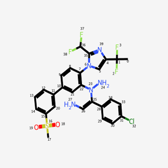 CC(F)(F)c1cn(-c2ccc(-c3cccc(S(C)(=O)=O)c3)cc2N(N)/C(=C\N)c2ccc(Cl)cc2)c(C(F)F)n1